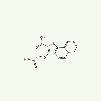 O=C(O)COc1c(C(=O)O)sc2c1cnc1ccccc12